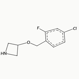 Fc1cc(Cl)ccc1COC1CNC1